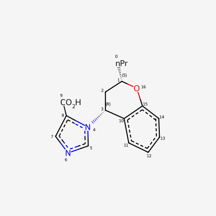 CCC[C@H]1C[C@@H](n2cncc2C(=O)O)c2ccccc2O1